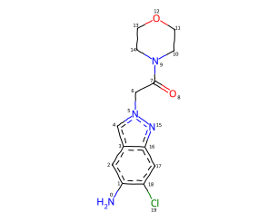 Nc1cc2cn(CC(=O)N3CCOCC3)nc2cc1Cl